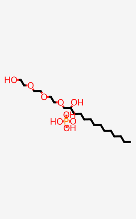 CCCCCCCCCCCCC(O)COCCOCCOCCO.O=P(O)(O)O